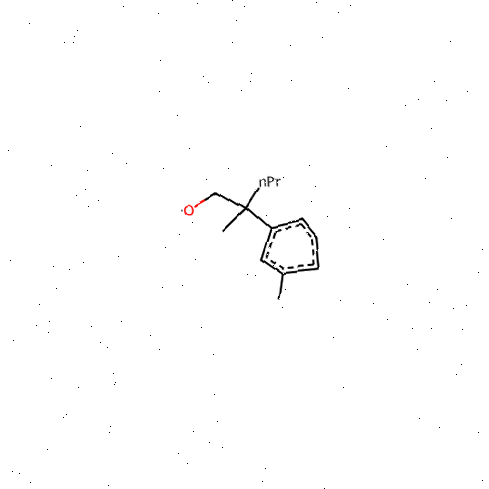 CCCC(C)(C[O])c1cccc(C)c1